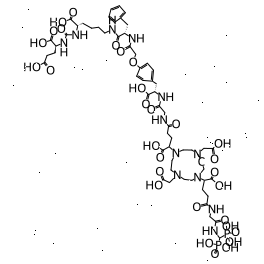 O=C(O)CC[C@H](NC(=O)N[C@@H](CCCCNC(=O)[C@H](Cc1ccccc1)NC(=O)COc1ccc(C[C@H](NC(=O)CNC(=O)CCC(C(=O)O)N2CCN(CC(=O)O)CCN(C(CCC(=O)NCC(=O)NC(P(=O)(O)O)P(=O)(O)O)C(=O)O)CCN(CC(=O)O)CC2)C(=O)O)cc1)C(=O)O)C(=O)O